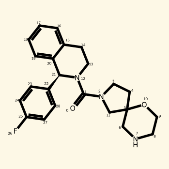 O=C(N1CCC2(CNCCO2)C1)N1CCc2ccccc2[C@@H]1c1ccc(F)cc1